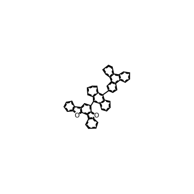 c1ccc2c(c1)oc1c2cc(-c2c3ccccc3c(-c3ccc4c5ccccc5c5ccccc5c4c3)c3ccccc23)c2oc3ccccc3c21